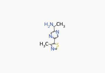 Cc1ncsc1-c1cnc(C(C)N)cn1